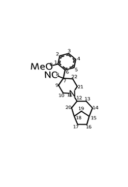 COc1ccccc1C1(C#N)CCN(C2CCC3CCC(C3)C2)CC1